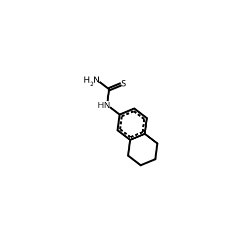 NC(=S)Nc1ccc2c(c1)CCCC2